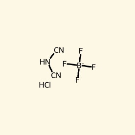 Cl.F[B-](F)(F)F.N#CNC#N